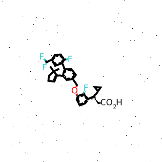 CC1(C)CCC=C1c1cc(COc2cccc([C@H](CC(=O)O)C3CC3)c2F)ccc1-c1cc(C(F)F)ccc1F